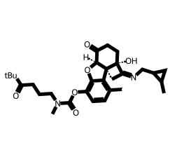 Cc1ccc(OC(=O)N(C)CCCC(=O)C(C)(C)C)c2c1[C@]13C/C(=N/CC4CC4C)[C@]1(O)CCC(=O)[C@@H]3O2